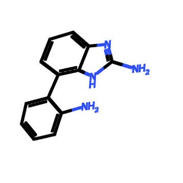 Nc1nc2cccc(-c3ccccc3N)c2[nH]1